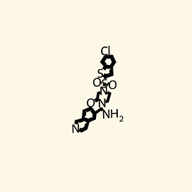 NC(c1ccc2cnccc2c1)N1CCN(S(=O)(=O)c2cc3ccc(Cl)cc3s2)CC1=O